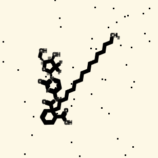 CCCCCCCCCCCCCCCCC1(C(=O)Nc2ccn([C@@H]3O[C@H](CO)[C@@H](O)C3(F)F)c(=O)n2)C=CC=CC1C(=O)O